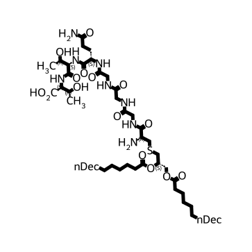 CCCCCCCCCCCCCCCC(=O)OC[C@@H](CSC[C@H](N)C(=O)NCC(=O)NCC(=O)NCC(=O)N[C@@H](CCC(N)=O)C(=O)N[C@H](C(=O)N[C@H](C(=O)O)[C@@H](C)O)[C@@H](C)O)OC(=O)CCCCCCCCCCCCCCC